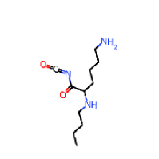 CCCCNC(CCCCN)C(=O)N=C=O